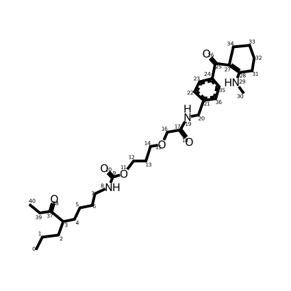 CCCC(CCCCNC(=O)OCCCOCC(=O)NCc1ccc(C(=O)C2=C(NC)CCCC2)cc1)C(=O)CC